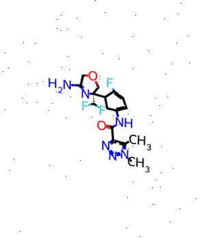 Cc1c(C(=O)NC2=CC=C(F)C([C@]3(C(F)F)COCC(N)=N3)C2)nnn1C